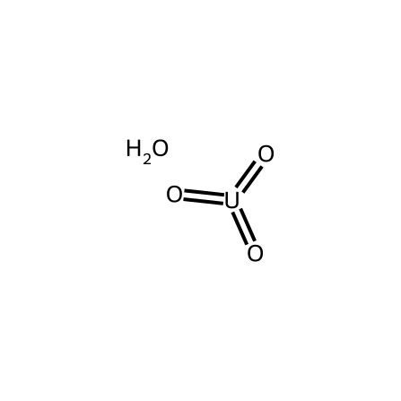 O.[O]=[U](=[O])=[O]